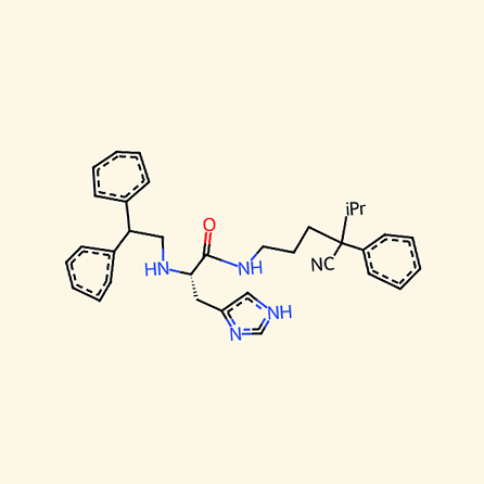 CC(C)C(C#N)(CCCNC(=O)[C@H](Cc1c[nH]cn1)NCC(c1ccccc1)c1ccccc1)c1ccccc1